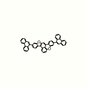 c1ccc2c(c1)cc(-c1ccc3c(c1)Oc1cccc4c1c-3cc1oc3cc(-c5cc6ccccc6c6ccccc56)ccc3c14)c1ccccc12